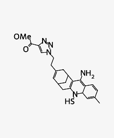 COC(=O)c1cn(CCC2=CC3CC4=C(C(N)=C5C=CC(C)=CC5N4S)C(C2)C3)nn1